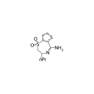 CCCC1CS(=O)(=O)c2ccsc2C(N)=N1